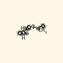 CN(CCCOc1ccc2[nH]c(-c3cc4ccccc4[nH]c3=O)cc2c1)Cc1ccccc1